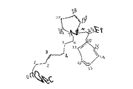 CCCCCCCCCCCCCCCC[N+]1(C(CC)c2ccccc2)CCCC1